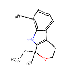 CCCc1cccc2c3c([nH]c12)C(CCC)(CC(=O)O)OCC3